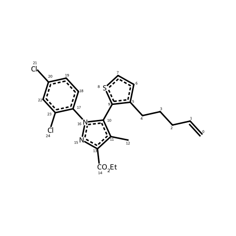 C=CCCCc1ccsc1-c1c(C)c(C(=O)OCC)nn1-c1ccc(Cl)cc1Cl